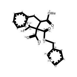 COC(=O)C(Cc1ccccc1)C(C(=O)Cl)(C(=O)OCc1ccccc1)C(F)F